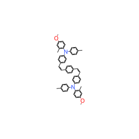 COc1ccc(N(c2ccc(C)cc2)c2ccc(/C=C\c3ccc(/C=C\c4ccc(N(c5ccc(C)cc5)c5ccc(OC)cc5C)cc4)cc3)cc2)c(C)c1